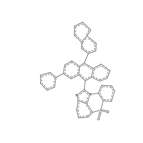 O=S1(=O)c2ccccc2-n2c(-c3c4ccccc4c(-c4ccc5ccccc5c4)c4ccc(-c5ccccc5)cc34)nc3cccc1c32